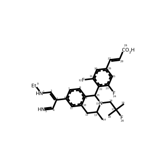 CCN/C=C(\C=N)c1ccc2c(c1)CC(C)N(CC(C)(C)F)C2c1c(F)cc(/C=C/C(=O)O)cc1F